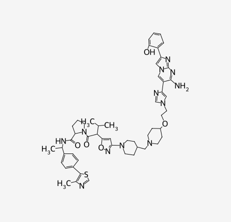 Cc1ncsc1-c1ccc(C(C)NC(=O)C2CCCN2C(=O)C(c2cc(N3CCC(CN4CCC(OCCn5cnc(-c6cn7cc(-c8ccccc8O)nc7nc6N)c5)CC4)CC3)no2)C(C)C)cc1